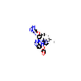 Cc1cc(Nc2ncnc3ccc(O[C@H]4CCOC4)c(N4C[C@@H]5C4CCN5C)c23)ccc1Oc1cc2ncnn2cn1